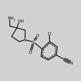 N#Cc1ccc(S(=O)(=O)N2CCC(O)(CN)C2)c(Cl)c1